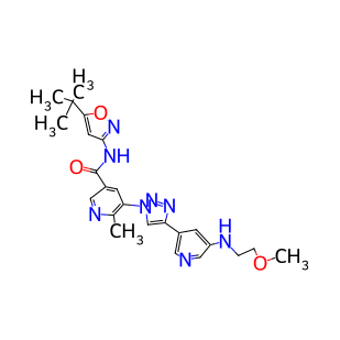 COCCNc1cncc(-c2cn(-c3cc(C(=O)Nc4cc(C(C)(C)C)on4)cnc3C)nn2)c1